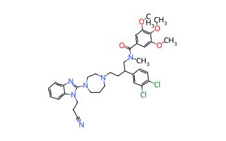 COc1cc(C(=O)N(C)CC(CCN2CCCN(c3nc4ccccc4n3CCC#N)CC2)c2ccc(Cl)c(Cl)c2)cc(OC)c1OC